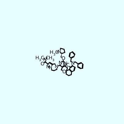 CN(C)C(=O)c1cc2n(n1)CCCN(c1nc(OC[C@@H]3CCCN3C)nc3c1COC1(CCCc4ccc(N(Cc5ccccc5)Cc5ccccc5)c(C#N)c41)C3)C2